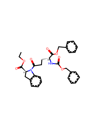 CCOC(=O)[C@@H]1Cc2ccccc2N1C(=O)CC[C@@H](NC(=O)OCc1ccccc1)C(=O)OCc1ccccc1